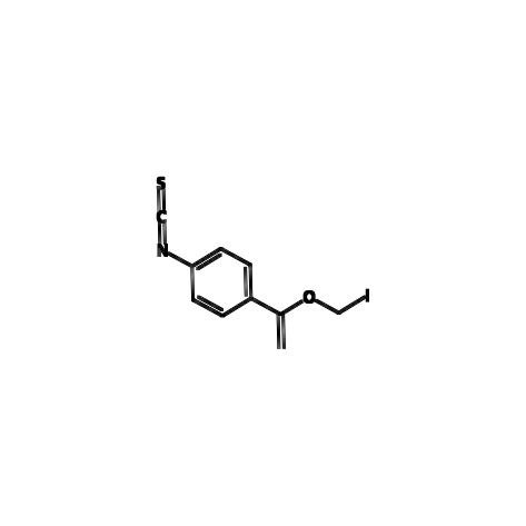 C=C(OCI)c1ccc(N=C=S)cc1